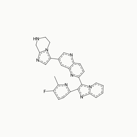 Cc1nc(-c2nc3ccccn3c2-c2ccc3ncc(-c4cnc5n4CCNC5)cc3n2)ccc1F